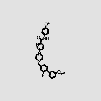 CCOc1cccc(-c2ccc(CN3CCN(c4ccc(C(=O)Nc5ccc(OC)cc5)nn4)CC3)cc2F)c1